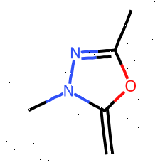 C=C1OC(C)=NN1C